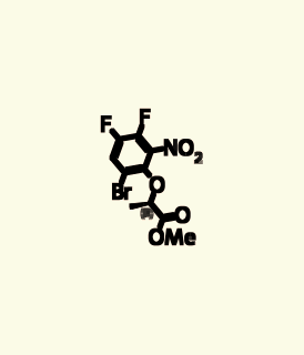 COC(=O)[C@@H](C)Oc1c(Br)cc(F)c(F)c1[N+](=O)[O-]